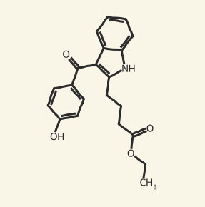 CCOC(=O)CCCc1[nH]c2ccccc2c1C(=O)c1ccc(O)cc1